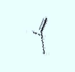 COCCOCCOCCOCC(=O)N(CCOCCN)CCC(F)(F)C(F)(F)C(F)(F)C(F)(F)C(F)(F)C(F)(F)C(F)(F)C(F)(F)F